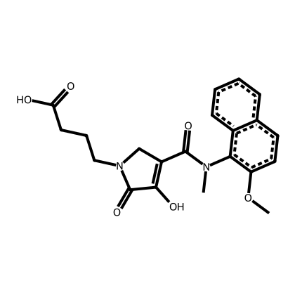 COc1ccc2ccccc2c1N(C)C(=O)C1=C(O)C(=O)N(CCCC(=O)O)C1